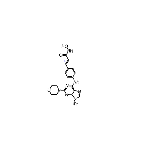 CC(C)n1cnc2c(Nc3ccc(/C=C/C(=O)NO)cc3)nc(N3CCOCC3)nc21